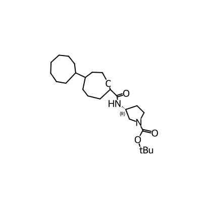 CC(C)(C)OC(=O)N1CC[C@@H](NC(=O)C2CCCC(C3CCCCCCC3)CCC2)C1